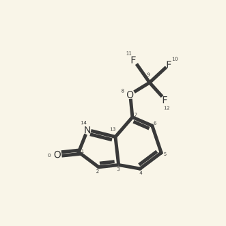 O=C1C=c2cccc(OC(F)(F)F)c2=N1